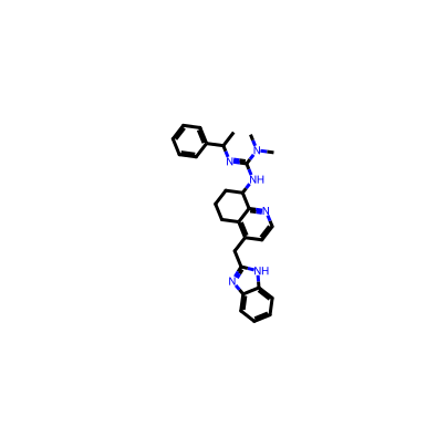 CC(N=C(NC1CCCc2c(Cc3nc4ccccc4[nH]3)ccnc21)N(C)C)c1ccccc1